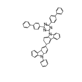 C1=CC2C(C=C1C1C=c3c(n(-c4nc(-c5ccc(-c6ccccc6)cc5)nc(-c5ccc(-c6ccccc6)cc5)n4)c4ccccc34)=CC1)c1ccccc1N2c1ccccc1